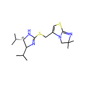 CC(C)C1N=C(SCC2=CSC3=NC(C)(C)CN23)N[C@H]1C(C)C